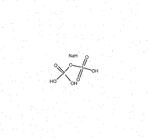 O=P(O)(O)OS(=O)(=O)O.[NaH]